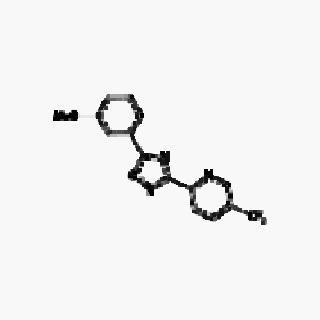 COc1cccc(-c2nc(-c3ccc(C(F)(F)F)cn3)no2)c1